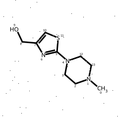 CN1CCN(c2nc(CO)cs2)CC1